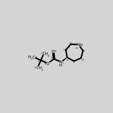 CC(C)(C)OC(=O)N[C@@H]1CCCNCC1